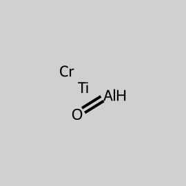 [Cr].[O]=[AlH].[Ti]